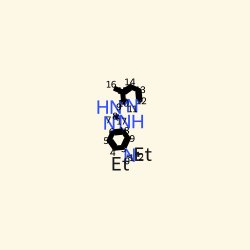 CCN(CC)c1ccc2nc(Nc3ncccc3C)[nH]c2c1